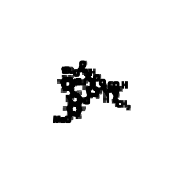 C=CC1C[C@]1(NC(=O)[C@@H]1C[C@@H](Oc2cc(-c3ccccc3)nc3cc(OC)ccc23)CN1C(=O)[C@@H](NC(=O)OC(C)(C)C)C(C)(C)C)C(=O)O